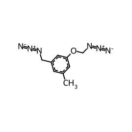 Cc1cc(CN=[N+]=[N-])cc(OCN=[N+]=[N-])c1